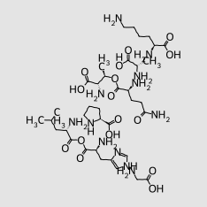 CC(C)C[C@H](N)C(=O)OC(=O)[C@@H](N)Cc1c[nH]cn1.C[C@@H](OC(=O)[C@@H](N)CCC(N)=O)[C@H](N)C(=O)O.C[C@H](N)C(=O)O.NCC(=O)O.NCCCC[C@H](N)C(=O)O.O=C(O)[C@@H]1CCCN1